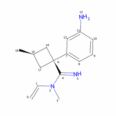 C=CN(C)C(=N)[C@]1(c2cccc(N)c2)C[C@H](C)C1